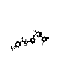 CN1CCC(Nc2nc(-c3cccc(Cn4nc(-c5cc(F)cc(F)c5)ccc4=O)c3)no2)CC1